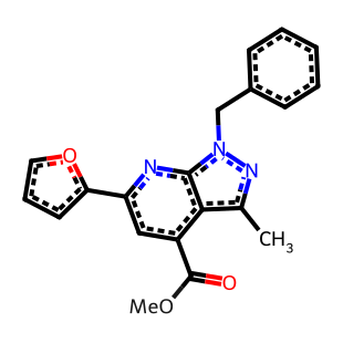 COC(=O)c1cc(-c2ccco2)nc2c1c(C)nn2Cc1ccccc1